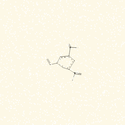 C=Cc1cc(C(=O)O)cc(C(=O)O)c1